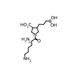 NCCCC[C@H](N)C(=O)N1CC(CCCB(O)O)C(C(=O)O)C1